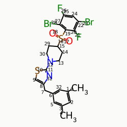 Cc1cc(C)cc(Cc2csc(N3CCC(S(=O)(=O)c4c(F)c(Br)cc(F)c4Br)CC3)n2)c1